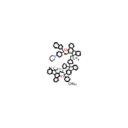 COc1ccc(C2(c3ccc4c(c3)C(c3ccccc3)(c3ccc(CC5(C)c6ccccc6-c6c5c5c(c7ccccc67)OC(c6ccc(N7CCCCC7)cc6)(c6ccc7ccccc7c6)C=C5)cc3)c3ccccc3-4)C=Cc3c4c(c5ccccc5c3O2)-c2ccccc2C4(C)C)cc1